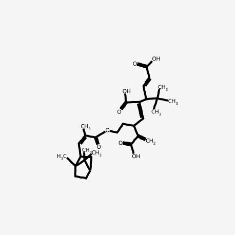 C=C(C(=O)O)C(C=C(C(=O)O)C(C=CC(=O)O)C(C)(C)C)CCOC(=O)C(C)=CC1CC2CCC1(C)C2(C)C